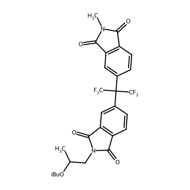 CC(C)COC(C)CN1C(=O)c2ccc(C(c3ccc4c(c3)C(=O)N(C)C4=O)(C(F)(F)F)C(F)(F)F)cc2C1=O